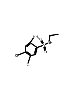 CCNS(=O)(=O)c1cc(Cl)c(Cl)cc1N